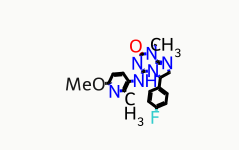 COc1ccc(NC2=NC(=O)N(C)C3=NCC(c4ccc(F)cc4)N23)c(C)n1